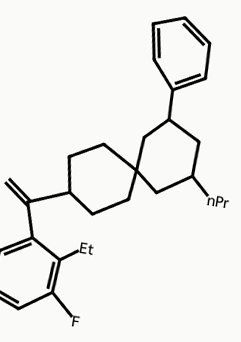 C=C(c1cccc(F)c1CC)C1CCC2(CC1)CC(CCC)CC(c1ccccc1)C2